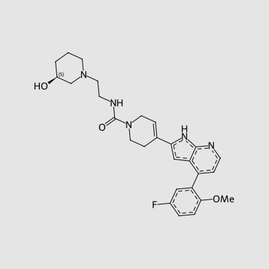 COc1ccc(F)cc1-c1ccnc2[nH]c(C3=CCN(C(=O)NCCN4CCC[C@H](O)C4)CC3)cc12